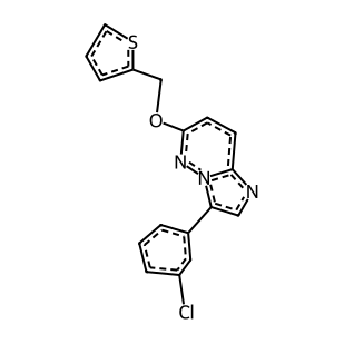 Clc1cccc(-c2cnc3ccc(OCc4cccs4)nn23)c1